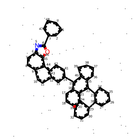 c1ccc(-c2nc3ccc4ccc5cc(-c6c7ccccc7c(-c7ccccc7-c7ccccc7)c7ccccc67)ccc5c4c3o2)cc1